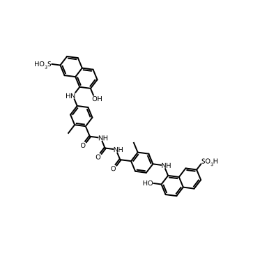 Cc1cc(Nc2c(O)ccc3ccc(S(=O)(=O)O)cc23)ccc1C(=O)NC(=O)NC(=O)c1ccc(Nc2c(O)ccc3ccc(S(=O)(=O)O)cc23)cc1C